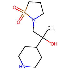 CC(O)(CN1CCCS1(=O)=O)C1CCNCC1